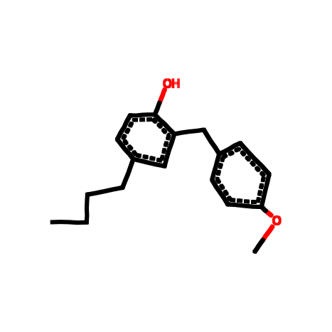 CCCCc1ccc(O)c(Cc2ccc(OC)cc2)c1